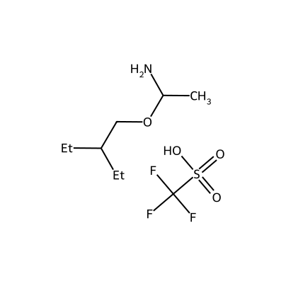 CCC(CC)COC(C)N.O=S(=O)(O)C(F)(F)F